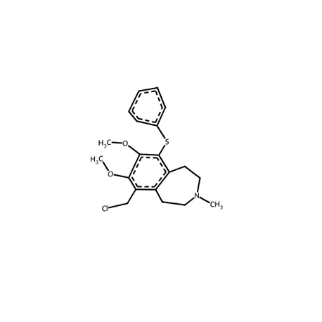 COc1c(CCl)c2c(c(Sc3ccccc3)c1OC)CCN(C)CC2